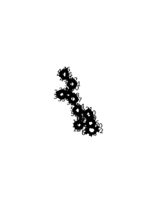 CC1(C)CCC(C)(C)c2c(-c3ccccc3-n3c4ccccc4c4cc(-c5ccc6c(c5)c5ccccc5n6-c5cccc(-c6ccccc6)c5)ccc43)cccc21